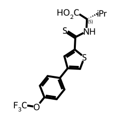 CC(C)[C@H](NC(=S)c1cc(-c2ccc(OC(F)(F)F)cc2)cs1)C(=O)O